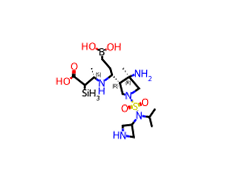 CC(C)N(C1CNC1)S(=O)(=O)N1C[C@H](C(CCB(O)O)N[C@@H](C)C([SiH3])C(=O)O)[C@@](C)(N)C1